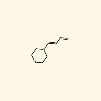 O=[C]C=CN1CCOCC1